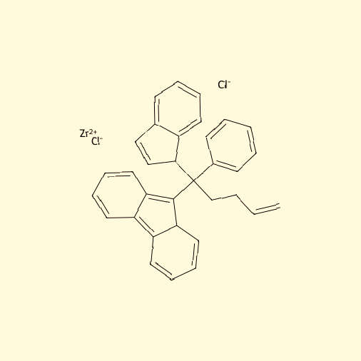 C=CCCC(C1=c2ccccc2=C2C=CC=CC21)(c1ccccc1)C1C=Cc2ccccc21.[Cl-].[Cl-].[Zr+2]